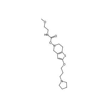 COCCNC(=O)ON1CCc2sc(OCCCN3CCCC3)cc2C1